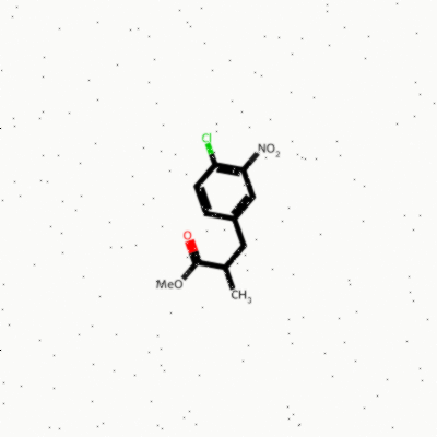 COC(=O)C(C)Cc1ccc(Cl)c([N+](=O)[O-])c1